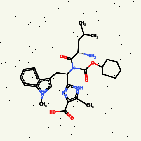 Cc1[nH]c([C@@H](Cc2cn(C)c3ccccc23)N(C(=O)OC2CCCCC2)C(=O)[C@@H](N)CC(C)C)nc1C(=O)O